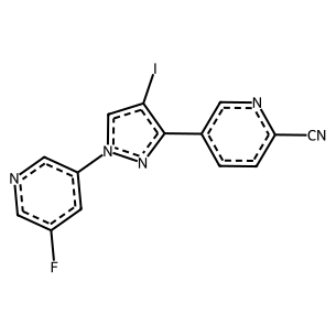 N#Cc1ccc(-c2nn(-c3cncc(F)c3)cc2I)cn1